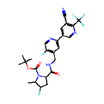 CC1C(F)CC(C(=O)NCc2cc(-c3cnc(C(F)(F)F)c(C#N)c3)ncc2F)N1C(=O)OC(C)(C)C